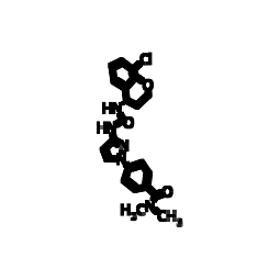 CN(C)C(=O)c1ccc(-n2ccc(NC(=O)N[C@H]3CCOc4c(Cl)cccc43)n2)cc1